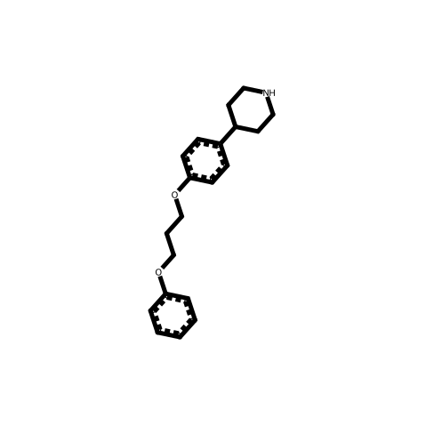 c1ccc(OCCCOc2ccc(C3CCNCC3)cc2)cc1